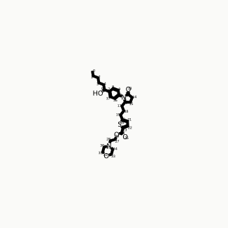 CCCCCC(O)c1ccc(N2C(=O)CCC2CCCc2ccc(C(=O)OCCN3CCOCC3)s2)cc1